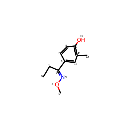 CCC(=NOC)c1ccc(O)c(C)c1